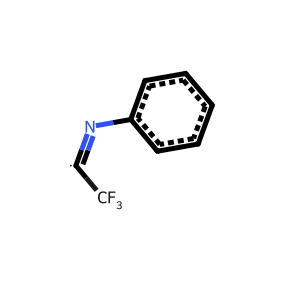 FC(F)(F)/[C]=N\c1ccccc1